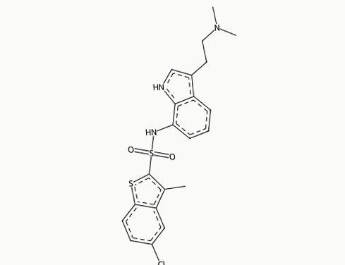 Cc1c(S(=O)(=O)Nc2cccc3c(CCN(C)C)c[nH]c23)sc2ccc(Cl)cc12